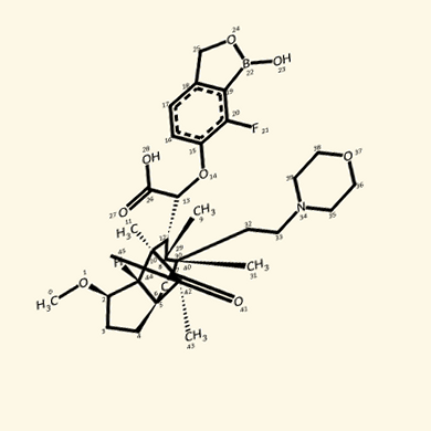 CO[C@@H]1CC[C@@]23CC[C@@H](C)[C@](C)([C@H](C(Oc4ccc5c(c4F)B(O)OC5)C(=O)O)C[C@](C)(CCN4CCOCC4)C(=O)[C@@H]2C)[C@@H]13